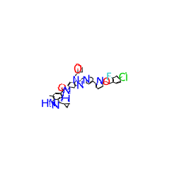 Cc1cc(C(=O)Nc2ccc3c(c2)nc(CN2CC=C(c4cccc(OCc5ccc(Cl)cc5F)n4)CC2)n3C[C@@H]2CCO2)cc2c(C3CC3)n[nH]c12